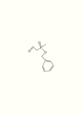 CP(=O)(CC=O)OCc1ccccc1